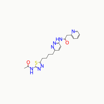 CC(=O)Nc1nnc(CCCCc2ccc(NC(=O)Cc3ccccn3)nn2)s1